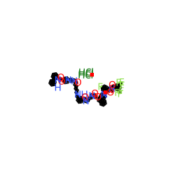 CN(CCN1CCC(OC(=O)Nc2ccccc2-c2ccccc2)CC1)C(=O)CCCCCNCc1cccc(C(=O)N(C)CCCN(C)C(=O)CO[C@H]2Cc3ccccc3C23CCN(CC[C@]2(c4ccc(F)cc4)CN(C(=O)c4cc(C(F)(F)F)cc(C(F)(F)F)c4)CO2)CC3)c1.Cl.Cl.Cl